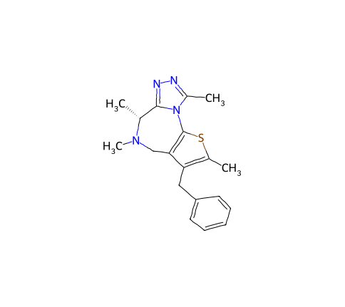 Cc1sc2c(c1Cc1ccccc1)CN(C)[C@H](C)c1nnc(C)n1-2